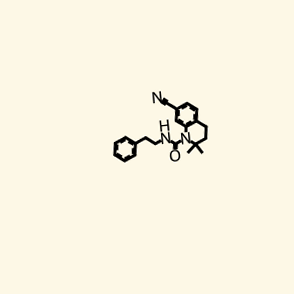 CC1(C)CCc2ccc(C#N)cc2N1C(=O)NCCc1ccccc1